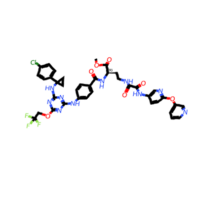 COC(=O)[C@@H](CCNC(=O)C(=O)Nc1ccc(Oc2cccnc2)nc1)NC(=O)c1ccc(Nc2nc(NC3(c4ccc(Cl)cc4)CC3)nc(OCC(F)(F)F)n2)cc1